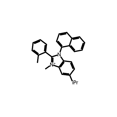 Cc1ccccc1-c1n(-c2cccc3ccccc23)c2ccc(C(C)C)cc2[n+]1C